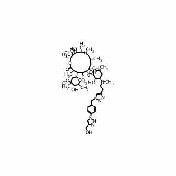 CC[C@H]1OC(=O)[C@H](C)[C@@H](C2C[C@@](C)(OC)[C@@H](O)[C@H](C)O2)[C@H](C)[C@@H](O[C@@H]2O[C@H](C)C[C@H](N(C)CCc3cn(Cc4ccc(-n5cc(CO)nn5)cc4)nn3)[C@H]2O)[C@](C)(O)C[C@@H](C)CN(C)[C@H](C)[C@@H](O)[C@]1(C)O